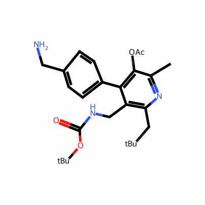 CC(=O)Oc1c(C)nc(CC(C)(C)C)c(CNC(=O)OC(C)(C)C)c1-c1ccc(CN)cc1